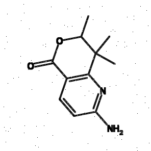 CC1OC(=O)c2ccc(N)nc2C1(C)C